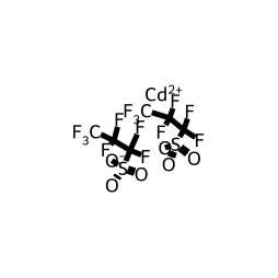 O=S(=O)([O-])C(F)(F)C(F)(F)C(F)(F)F.O=S(=O)([O-])C(F)(F)C(F)(F)C(F)(F)F.[Cd+2]